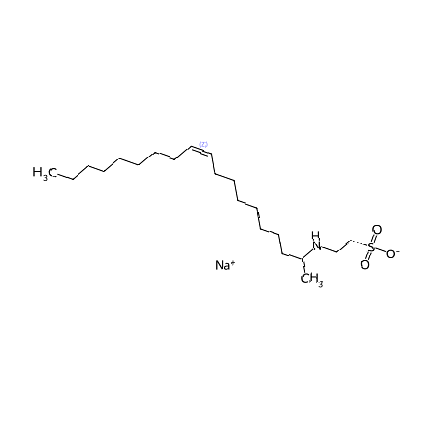 CCCCCCCC/C=C\CCCCCCCC(C)NCCS(=O)(=O)[O-].[Na+]